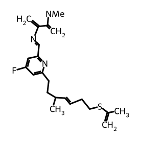 C=C(C)SCC/C=C/C(C)CCc1cc(F)cc(/C=N/C(=C)C(=C)NC)n1